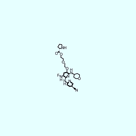 N#Cc1ccc(Nc2nc(NC3CCOCC3)c(OCCOCCOC(=O)[C@@H]3CCCN3)cc2NF)nc1